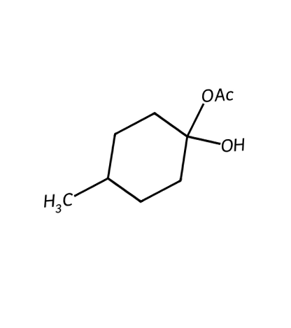 CC(=O)OC1(O)CCC(C)CC1